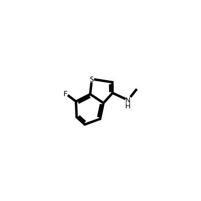 CNc1csc2c(F)cccc12